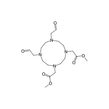 COC(=O)CN1CCN(CC=O)CCN(CC=O)CCN(CC(=O)OC)CC1